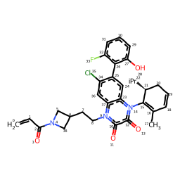 C=CC(=O)N1CC(CCn2c(=O)c(=O)n(C3=C(C)C=CC[C@@H]3C(C)C)c3cc(-c4c(O)cccc4F)c(Cl)cc32)C1